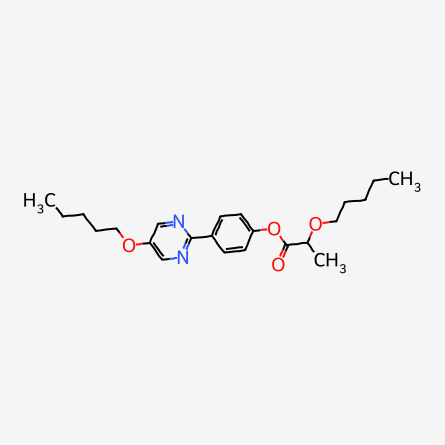 CCCCCOc1cnc(-c2ccc(OC(=O)C(C)OCCCCC)cc2)nc1